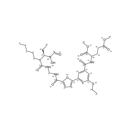 CCCCCC(C(=O)NCNC(=O)c1ccc(-c2cc(OCC)cc(C(=O)NC(CCC(=O)OC)C(=O)OC)c2)o1)[C@@H](CC)N(O)C=O